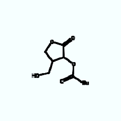 CCC(C)C(=O)OC1C(=O)OCC1CO